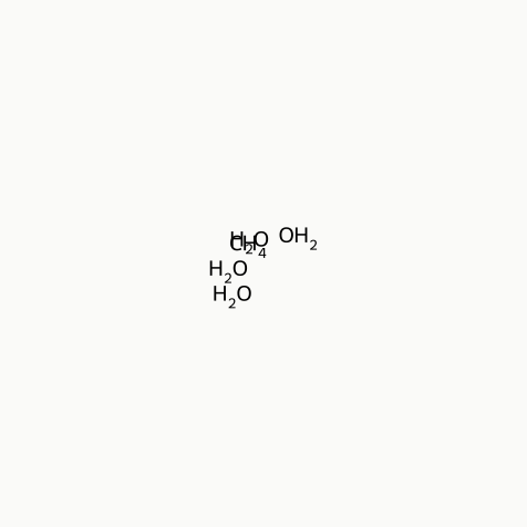 C.O.O.O.O